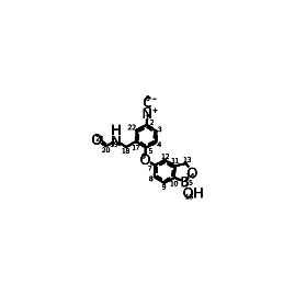 [C-]#[N+]c1ccc(Oc2ccc3c(c2)COB3O)c(CNC=O)c1